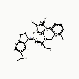 CC/C(=N/N=C1/CCc2ccc(OC)cc21)OCc1c(C)cccc1-n1nnn(C)c1=O